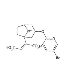 CN1C2CCC1(/C(=C\C(=O)O)C(=O)O)CC(Oc1ccc(Br)cn1)C2